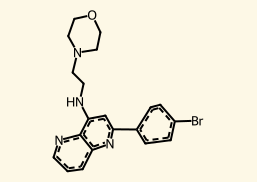 Brc1ccc(-c2cc(NCCN3CCOCC3)c3ncccc3n2)cc1